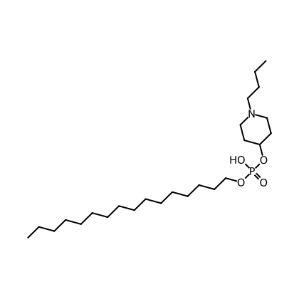 CCCCCCCCCCCCCCCCOP(=O)(O)OC1CCN(CCCC)CC1